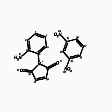 Nc1ccccc1N1C(=O)C=CC1=O.O=[N+]([O-])c1cccc([N+](=O)[O-])c1